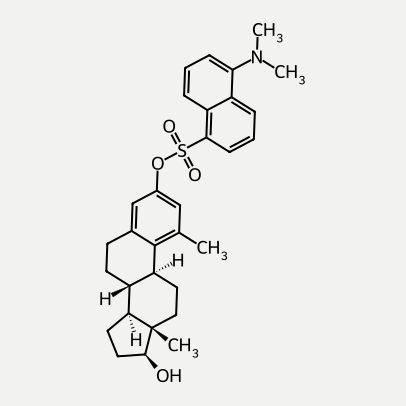 Cc1cc(OS(=O)(=O)c2cccc3c(N(C)C)cccc23)cc2c1[C@H]1CC[C@]3(C)[C@@H](O)CC[C@H]3[C@@H]1CC2